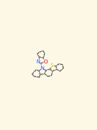 c1ccc2oc(-n3c4ccccc4c4ccc5c6ccccc6sc5c43)nc2c1